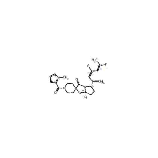 C=C(/C=C(F)\C=C(/C)F)[C@@H]1CC[C@H]2OC3(CCN(C(=O)c4cccn4C)CC3)C(=O)N21